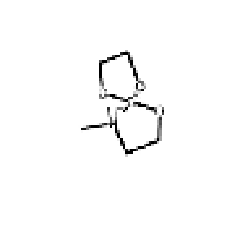 C[NH+]1CCO[B-]12OCCO2